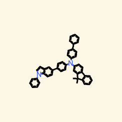 CC1(C)c2ccccc2-c2ccc(N(c3ccc(-c4ccccc4)cc3)c3ccc(-c4ccc5c(ccn5-c5ccccc5)c4)cc3)cc21